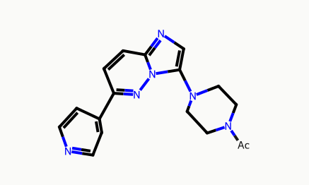 CC(=O)N1CCN(c2cnc3ccc(-c4ccncc4)nn23)CC1